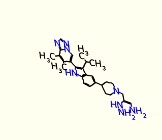 Cc1c(-c2[nH]c3ccc(C4CCN(C/C(=C/N)NN)CC4)cc3c2C(C)C)cn2ncnc2c1C